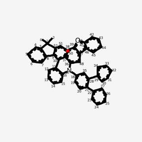 CC1(C)c2ccccc2-c2c(-c3ccccc3N(c3ccc(-c4ccccc4)c(-c4ccccc4)c3)c3ccc4oc5ccccc5c4c3)cccc21